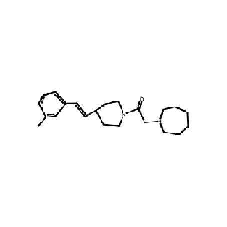 Cc1cccc(/C=C/C2CCN(C(=O)CN3CCCCCC3)CC2)c1